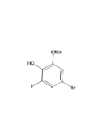 COc1cc(Br)cc(I)c1O